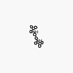 c1ccc(-c2cc3ccccc3c3ccccc23)c(Nc2ccc(-c3ccc(Nc4ccccc4-c4cc5ccccc5c5ccccc45)cc3)cc2)c1